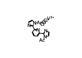 CC(=O)n1ccnc1-c1cccc(-c2nccn2C(C)=O)n1.[Cl-].[Cl-].[Cl-].[V+3]